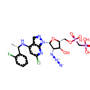 C[C@H](Nc1cc(Cl)nc2c1cnn2[C@@H]1O[C@H](COP(=O)(O)CP(=O)(O)O)[C@@H](O)[C@@H]1N=[N+]=[N-])c1ccccc1F